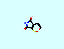 O=c1[nH]c(=O)c2soccc1=2